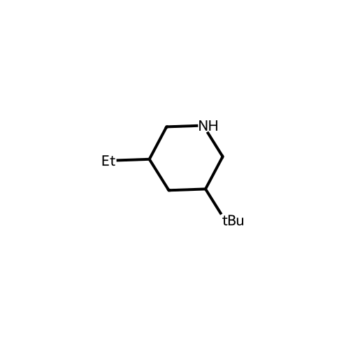 CCC1CNCC(C(C)(C)C)C1